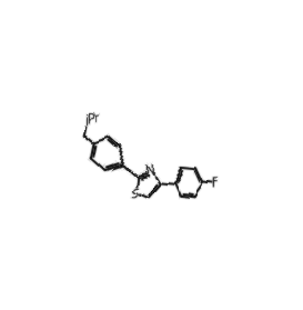 CC(C)Cc1ccc(-c2nc(-c3ccc(F)cc3)cs2)cc1